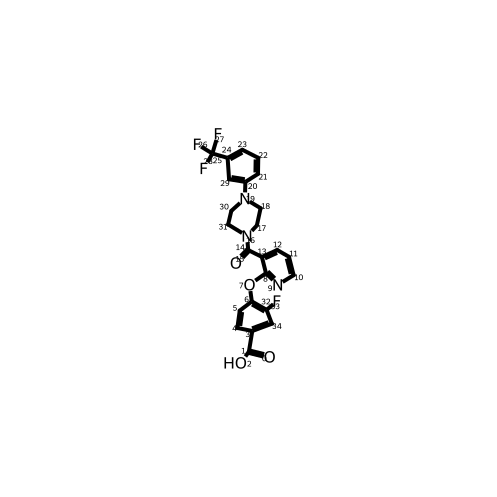 O=C(O)c1ccc(Oc2ncccc2C(=O)N2CCN(c3cccc(C(F)(F)F)c3)CC2)c(F)c1